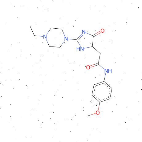 CCN1CCN(C2=NC(=O)C(CC(=O)Nc3ccc(OC)cc3)N2)CC1